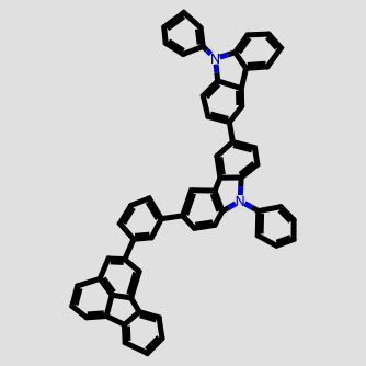 c1ccc(-n2c3ccccc3c3cc(-c4ccc5c(c4)c4cc(-c6cccc(-c7cc8c9c(cccc9c7)-c7ccccc7-8)c6)ccc4n5-c4ccccc4)ccc32)cc1